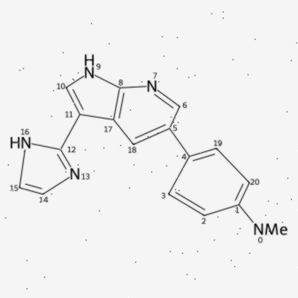 CNc1ccc(-c2cnc3[nH]cc(-c4ncc[nH]4)c3c2)cc1